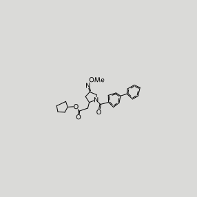 CON=C1CC(CC(=O)OC2CCCC2)N(C(=O)c2ccc(-c3ccccc3)cc2)C1